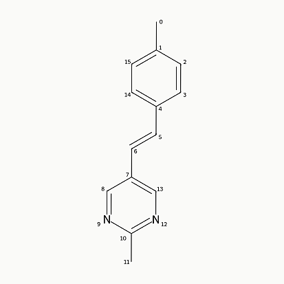 Cc1ccc(C=Cc2cnc(C)nc2)cc1